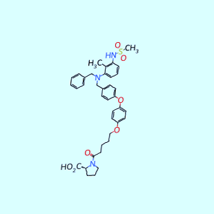 Cc1c(NS(C)(=O)=O)cccc1N(Cc1ccccc1)Cc1ccc(Oc2ccc(OCCCCC(=O)N3CCC[C@H]3C(=O)O)cc2)cc1